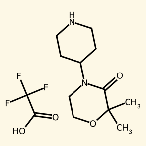 CC1(C)OCCN(C2CCNCC2)C1=O.O=C(O)C(F)(F)F